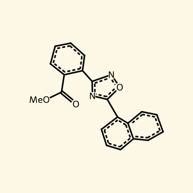 COC(=O)c1ccccc1-c1noc(-c2cccc3ccccc23)n1